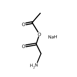 CC(=O)OC(=O)CN.[NaH]